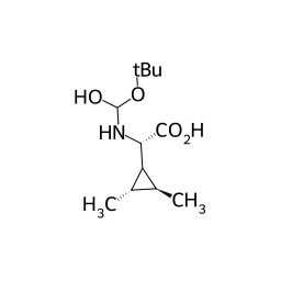 C[C@@H]1C([C@H](NC(O)OC(C)(C)C)C(=O)O)[C@H]1C